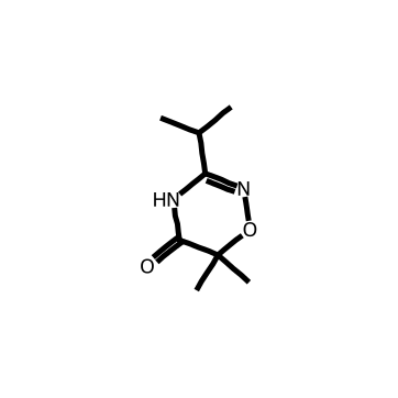 CC(C)C1=NOC(C)(C)C(=O)N1